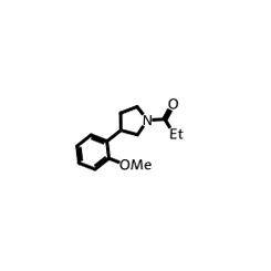 CCC(=O)N1CCC(c2ccccc2OC)C1